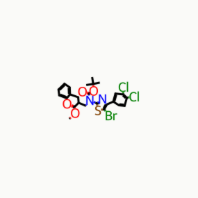 COC(=O)C(Cc1ccccc1)CN(C(=O)OC(C)(C)C)c1nc(-c2ccc(Cl)c(Cl)c2)c(Br)s1